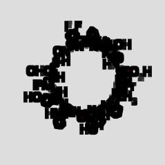 CCCC[C@H]1C(=O)N2C[C@@H](O)C[C@@H]2C(=O)N[C@@H](CC(=O)O)C(=O)N[C@@H](C(C)C)C(=O)N(C)[C@H](Cc2ccccc2)C(=O)N[C@@H](Cc2ccc(O)cc2)C(=O)N2C[C@@H](O)C[C@@H]2C(=O)N[C@@H](Cc2c[nH]c3ccccc23)C(=O)N[C@@H](Cc2ccc(O)cc2)C(=O)N[C@@H](CC(C)C)C(=O)N[C@H](C=O)CSCC(=O)N[C@@H](Cc2ccc(F)c(F)c2)C(=O)N(C)[C@@H](Cc2ccccc2)C(=O)N1C